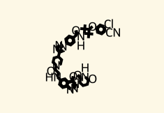 CC1(C)C(NC(=O)c2ccc(-n3cc(C4CCN(C(=O)CNc5ccc6nnn(C7CCC(=O)NC7=O)c(=O)c6c5)CC4)nn3)cc2)C(C)(C)C1Oc1ccc(C#N)c(Cl)c1